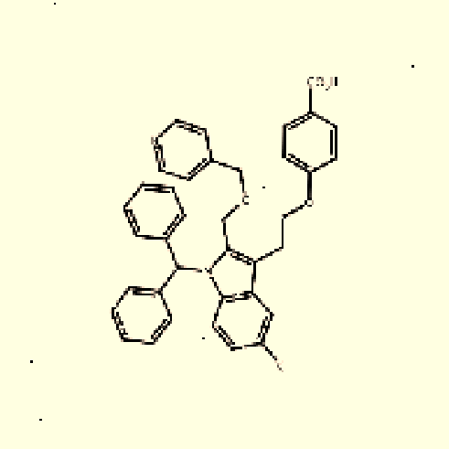 O=C(O)c1ccc(OCCc2c(COCc3ccncc3)n(C(c3ccccc3)c3ccccc3)c3ccc(Cl)cc23)cc1